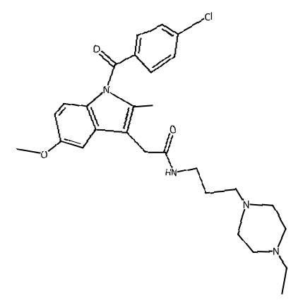 CCN1CCN(CCCNC(=O)Cc2c(C)n(C(=O)c3ccc(Cl)cc3)c3ccc(OC)cc23)CC1